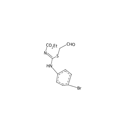 CCOC(=O)/N=C(/Nc1ccc(Br)cc1)SCC=O